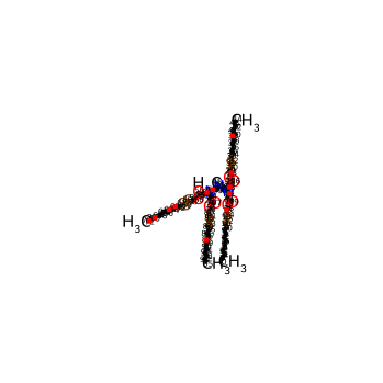 CCCCCCCCCCCCSSSCCOC(=O)CCN(CCC(=O)OCCSSSCCCCCCCCCCCC)CCN(C)CCN(CCC(=O)OCCSSSCCCCCCCCCCCC)CCC(=O)OCCSSSCCCCCCCCCCCC